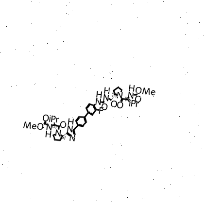 COC(=O)N[C@H](C(=O)N1CCC[C@H]1C(=O)NC(=O)Nc1ccc(-c2ccc(-c3cnc([C@@H]4CCCN4C(=O)[C@@H](NC(=O)OC)C(C)C)[nH]3)cc2)cc1F)C(C)C